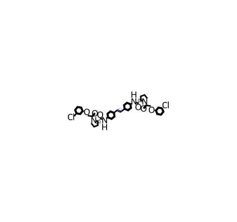 O=C(Nc1ccc(/C=C/c2ccc(NC(=O)[C@@H]3CCCN3C(=O)COc3cccc(Cl)c3)cc2)cc1)[C@@H]1CCCN1C(=O)COc1cccc(Cl)c1